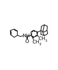 Cc1c(C(=O)NCC2C=CC=CC2)ccc(C23CC4CC(CC(C4)C2)C3)c1C